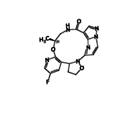 C[C@H]1CNC(=O)c2cnn3ccc(nc23)N2OCCC2c2cc(F)cnc2O1